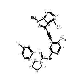 CCn1nc(C#Cc2cc(NC(=O)N3OCC[C@@H]3c3ccc(F)cc3)ccc2C)c2c(N)ncnc21